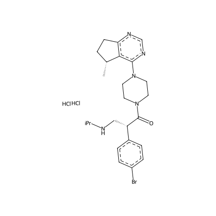 CC(C)NC[C@H](C(=O)N1CCN(c2ncnc3c2[C@H](C)CC3)CC1)c1ccc(Br)cc1.Cl.Cl